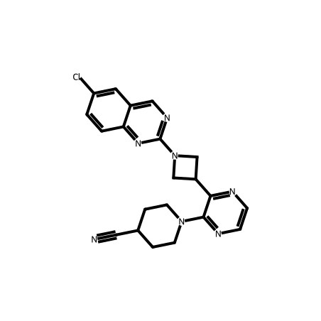 N#CC1CCN(c2nccnc2C2CN(c3ncc4cc(Cl)ccc4n3)C2)CC1